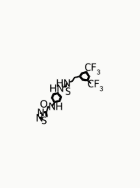 O=C(Nc1ccc(NC(=S)NCCc2cc(C(F)(F)F)cc(C(F)(F)F)c2)cc1)c1csnn1